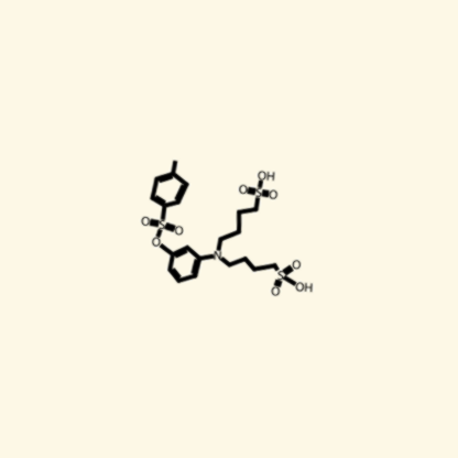 Cc1ccc(S(=O)(=O)Oc2cccc(N(CCCCS(=O)(=O)O)CCCCS(=O)(=O)O)c2)cc1